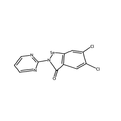 O=c1c2cc(Cl)c(Cl)cc2[se]n1-c1ncccn1